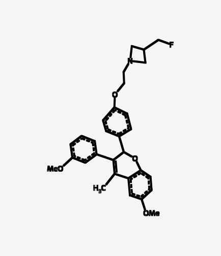 COc1cccc(C2=C(C)c3cc(OC)ccc3OC2c2ccc(OCCN3CC(CF)C3)cc2)c1